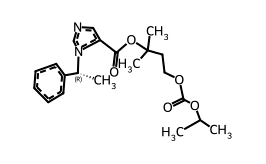 CC(C)OC(=O)OCCC(C)(C)OC(=O)c1cncn1[C@H](C)c1ccccc1